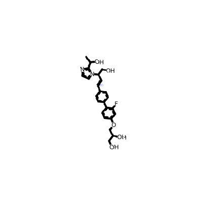 CC(O)c1nccn1C(/C=C/c1ccc(-c2ccc(OCC(O)CO)cc2F)cc1)CO